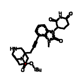 Cn1c(=O)n(C2CCC(=O)NC2=O)c2cccc(C#CCC34CNCC(COC3)N4C(=O)OC(C)(C)C)c21